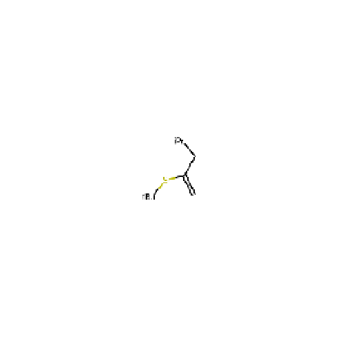 C=C(CC(C)C)SC(C)(C)C